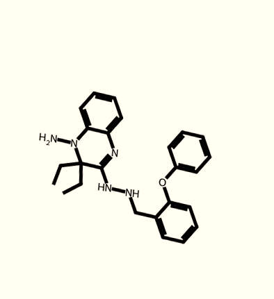 CCC1(CC)C(NNCc2ccccc2Oc2ccccc2)=Nc2ccccc2N1N